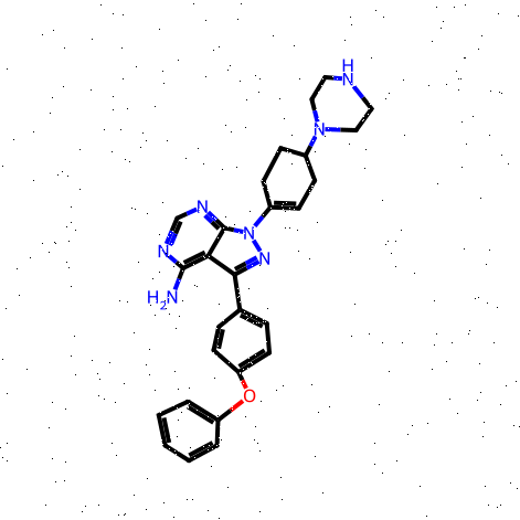 Nc1ncnc2c1c(-c1ccc(Oc3ccccc3)cc1)nn2C1=CCC(N2CCNCC2)CC1